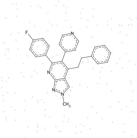 Cn1cc2c(CCc3ccccc3)c(-c3ccncc3)c(-c3ccc(F)cc3)nc2n1